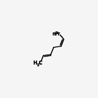 C/C=C/C/C=C\CCC